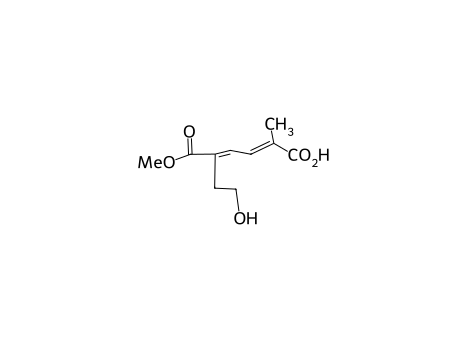 COC(=O)C(=CC=C(C)C(=O)O)CCO